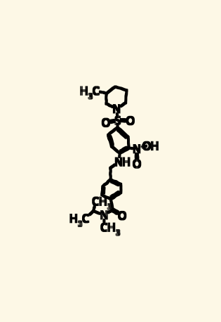 CC1CCCN(S(=O)(=O)c2ccc(NCc3ccc(C(=O)N(C)C(C)C)cc3)c([N+](=O)O)c2)C1